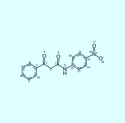 O=C(CC(=O)c1ccccc1)Nc1ccc([N+](=O)[O-])cc1